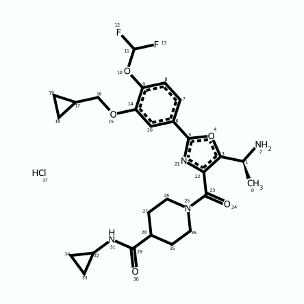 C[C@H](N)c1oc(-c2ccc(OC(F)F)c(OCC3CC3)c2)nc1C(=O)N1CCC(C(=O)NC2CC2)CC1.Cl